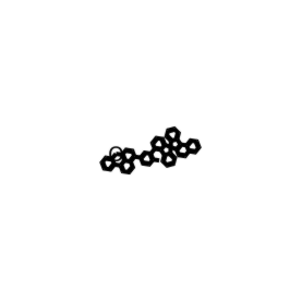 Cc1ccc(-c2ccc3c4c(cccc24)-c2ccccc2O3)cc1-c1cccc2c1-c1ccccc1C21c2ccccc2-c2c1ccc1ccccc21